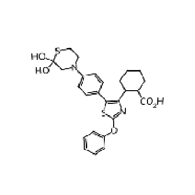 O=C(O)C1CCCCC1c1nc(Oc2ccccc2)sc1-c1ccc(N2CCSC(O)(O)C2)cc1